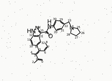 C=C(C)/C(C)=C(\C=C/C)c1ccc2[nH]nc(C(=O)Nc3ccc(CN4CCCC4)cc3)c2c1